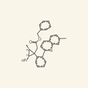 CCC[C@H]1[C@@H](C)C1(CC(=O)OCc1ccccc1)c1ccccc1-c1ccc2ccc(C)cc2n1